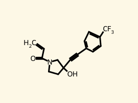 C=CC(=O)N1CCC(O)(C#Cc2ccc(C(F)(F)F)cc2)C1